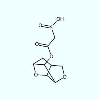 O=C(CS(=O)O)OC1C2CC3COC1C3O2